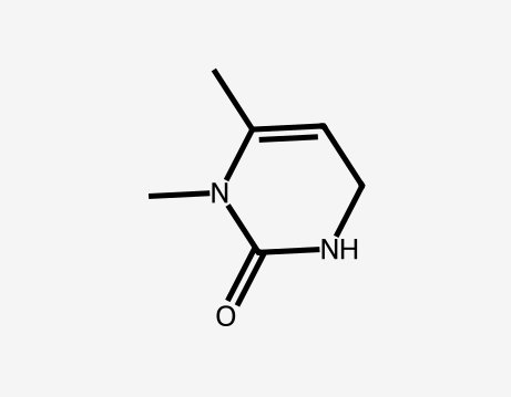 CC1=CCNC(=O)N1C